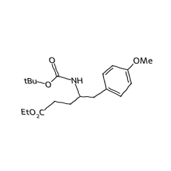 CCOC(=O)CCC(Cc1ccc(OC)cc1)NC(=O)OC(C)(C)C